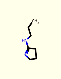 CCCNC1=NCCC1